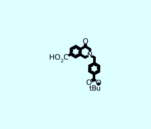 CC(C)(C)OC(=O)c1ccc(CN2CC(=O)c3ccc(C(=O)O)cc3C2)cc1